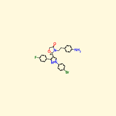 Nc1ccc(CCN2C(=O)CO[C@@H]2c2cn(-c3ccc(Br)cc3)nc2-c2ccc(F)cc2)cc1